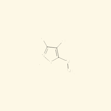 Cc1n[nH]c(NN)c1Cl.Cl